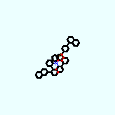 c1ccc(-c2ccccc2N(c2ccc(-c3ccc(-c4cccc5ccccc45)cc3)cc2)c2ccccc2-c2cccc3sc4ccccc4c23)c(-c2ccc3ccccc3c2)c1